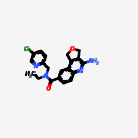 CCN(Cc1ccc(Cl)cn1)C(=O)c1ccc2nc(N)c3c(c2c1)COC3